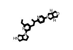 CCc1cc(CC(C)c2ccc(N3C[C@H]4COC[C@H]4C3)cn2)cc(N2CCC3CNCC32)n1